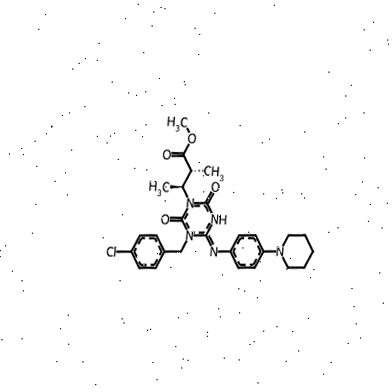 COC(=O)[C@H](C)[C@H](C)n1c(=O)[nH]/c(=N\c2ccc(N3CCCCC3)cc2)n(Cc2ccc(Cl)cc2)c1=O